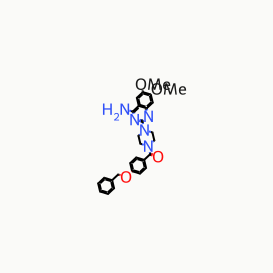 COc1cc2nc(N3CCN(C(=O)c4ccc(OCc5ccccc5)cc4)CC3)nc(N)c2cc1OC